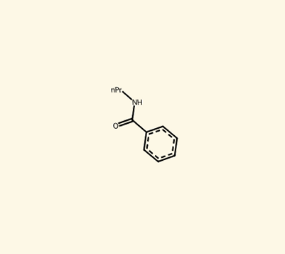 [CH2]CCNC(=O)c1ccccc1